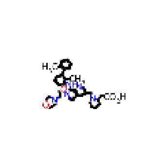 Cc1ccccc1C1=CC=CC(Nc2nccc3cc(CN4CCCCC4CC(=O)O)cnc23)(OCCN2CCOCC2)C1C